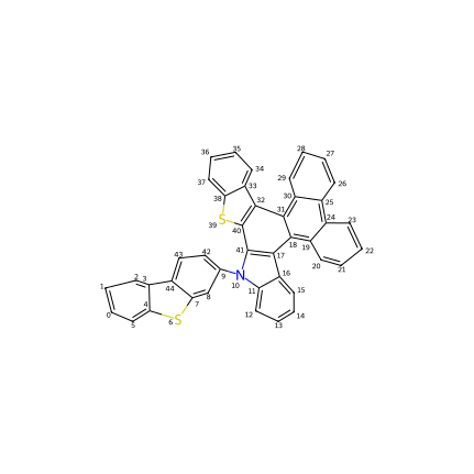 c1ccc2c(c1)sc1cc(-n3c4ccccc4c4c5c6ccccc6c6ccccc6c5c5c6ccccc6sc5c43)ccc12